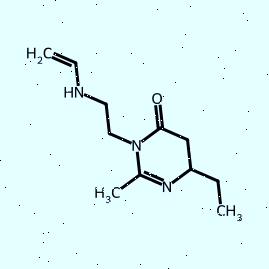 C=CNCCN1C(=O)CC(CC)N=C1C